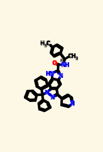 Cc1ccc([C@@H](C)NC(=O)c2nc3cc4c(-c5ccncc5)nn(C(c5ccccc5)(c5ccccc5)c5ccccc5)c4cc3[nH]2)cc1